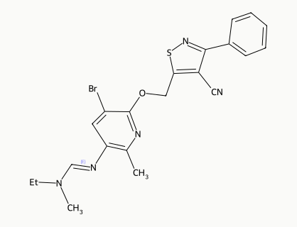 CCN(C)/C=N/c1cc(Br)c(OCc2snc(-c3ccccc3)c2C#N)nc1C